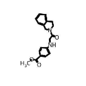 COC(=O)c1ccc(NCC(=O)N2CCc3ccccc3C2)cc1